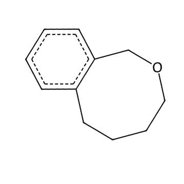 c1ccc2c(c1)CCCCOC2